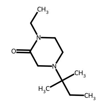 CCN1CCN(C(C)(C)CC)CC1=O